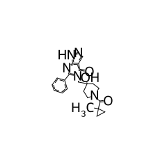 CC1(C(=O)N2CCC(O)(Cn3c(-c4ccccc4)nc4[nH]ncc4c3=O)CC2)CC1